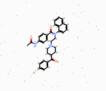 CC(=O)Nc1ccc(C(=O)N(CCN2CCC(C(=O)c3ccc(F)cc3)CC2)c2cccc3ccccc23)cc1